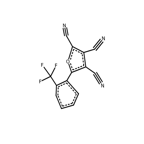 N#Cc1oc(-c2ccccc2C(F)(F)F)c(C#N)c1C#N